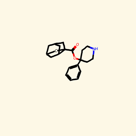 O=C(OC1(c2ccccc2)CCNCC1)C12CC3CC(CC1C3)C2